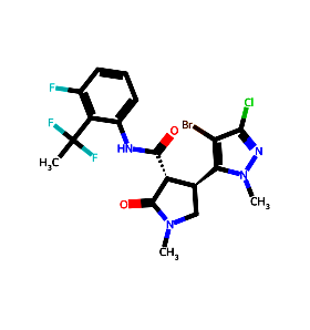 CN1C[C@H](c2c(Br)c(Cl)nn2C)[C@@H](C(=O)Nc2cccc(F)c2C(C)(F)F)C1=O